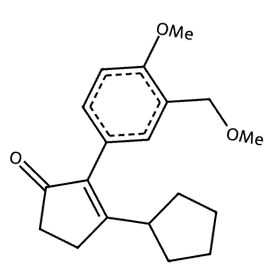 COCc1cc(C2=C(C3CCCC3)CCC2=O)ccc1OC